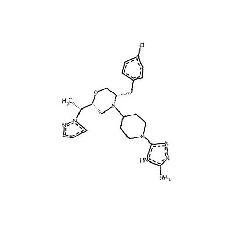 C[C@H]([C@H]1CN(C2CCN(c3nnc(N)[nH]3)CC2)[C@@H](Cc2ccc(Cl)cc2)CO1)n1cccn1